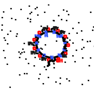 C/C=C/C[C@@H](C)[C@@H](O)[C@H]1C(=O)N[C@@H](CC)C(=O)N(C)CC(=O)N(C)CC(=O)N[C@@H](C(C)C)C(=O)N(C)[C@@H](CC(C)C)C(=O)N[C@@H](CC(C)C)C(=O)N[C@H](C)C(=O)N(C)[C@@H](CC(C)C)C(=O)N(C)[C@@H](CC(C)C)C(=O)N(C)[C@@H](C(C)C)C(=O)N1C